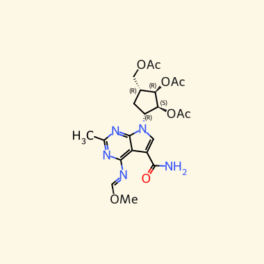 COC=Nc1nc(C)nc2c1c(C(N)=O)cn2[C@@H]1C[C@H](COC(C)=O)[C@@H](OC(C)=O)[C@H]1OC(C)=O